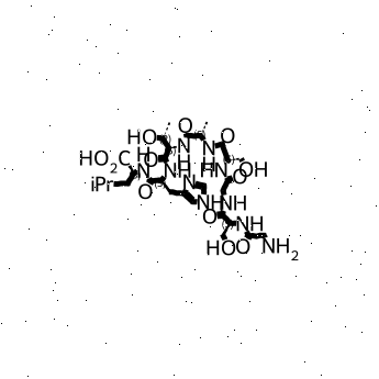 CC(C)C[C@H](NC(=O)[C@H](Cc1c[nH]cn1)NC(=O)[C@@H](NC(=O)[C@H](C)NC(=O)[C@H](CO)NC(=O)CNC(=O)[C@H](CO)NC(=O)CN)[C@@H](C)O)C(=O)O